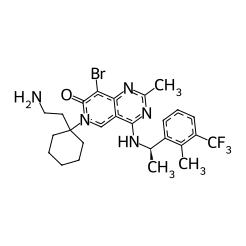 Cc1nc(N[C@H](C)c2cccc(C(F)(F)F)c2C)c2cn(C3(CCN)CCCCC3)c(=O)c(Br)c2n1